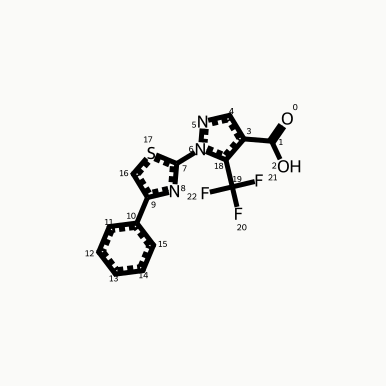 O=C(O)c1cnn(-c2nc(-c3ccccc3)cs2)c1C(F)(F)F